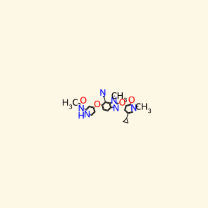 CC(=O)Nc1cc(Oc2ccc3nc(Oc4cc(C5CC5)cn(C)c4=O)n(C)c3c2C#N)ccn1